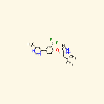 Cc1cc(-c2ccc(OCC(C)(N)CC(C)C)c(C(F)F)c2)ncn1